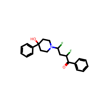 O=C(c1ccccc1)C(F)CC(F)N1CCC(O)(c2ccccc2)CC1